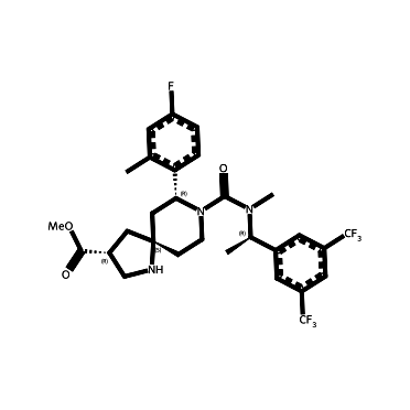 COC(=O)[C@H]1CN[C@]2(CCN(C(=O)N(C)[C@H](C)c3cc(C(F)(F)F)cc(C(F)(F)F)c3)[C@@H](c3ccc(F)cc3C)C2)C1